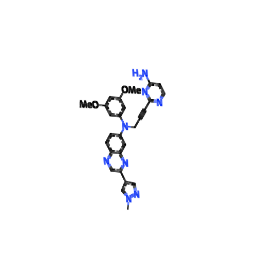 COc1cc(OC)cc(N(CC#Cc2nccc(N)n2)c2ccc3ncc(-c4cnn(C)c4)nc3c2)c1